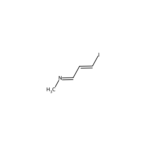 CN=CC=CI